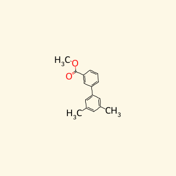 COC(=O)c1cccc(-c2cc(C)cc(C)c2)c1